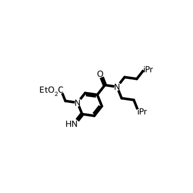 CCOC(=O)Cn1cc(C(=O)N(CCC(C)C)CCC(C)C)ccc1=N